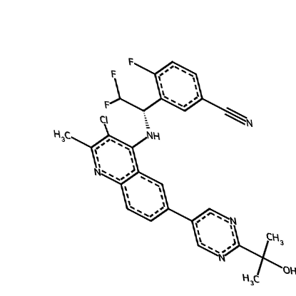 Cc1nc2ccc(-c3cnc(C(C)(C)O)nc3)cc2c(N[C@@H](c2cc(C#N)ccc2F)C(F)F)c1Cl